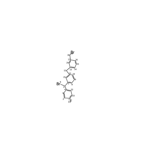 Fc1ccc(C(Br)c2cccc(Cc3cccc(CBr)c3)c2)cc1